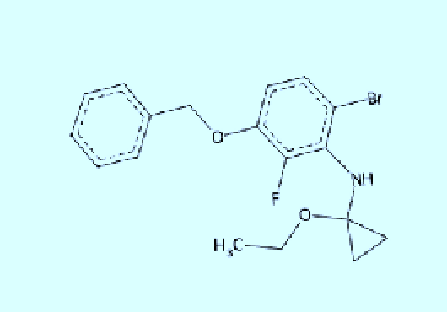 CCOC1(Nc2c(Br)ccc(OCc3ccccc3)c2F)CC1